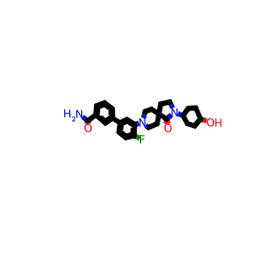 NC(=O)c1cccc(-c2ccc(F)c(N3CCC4(CC3)CCN(C3CCC(O)CC3)C4=O)c2)c1